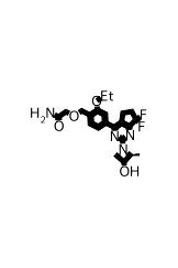 CCOc1cc(-c2nc(N3CC(O)[C@@H]3C)nc3c2CCC3(F)F)ccc1COCC(N)=O